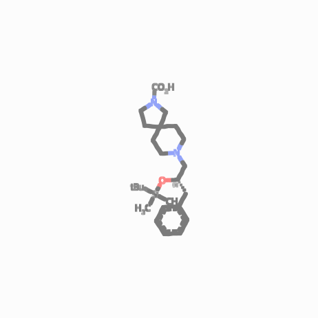 CC(C)(C)[Si](C)(C)O[C@@H](Cc1ccccc1)CN1CCC2(CC1)CCN(C(=O)O)C2